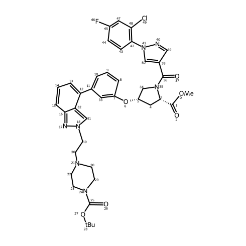 COC(=O)[C@@H]1C[C@H](Oc2cccc(-c3cccc4nn(CCN5CCN(C(=O)OC(C)(C)C)CC5)cc34)c2)CN1C(=O)c1cnn(-c2ccc(F)cc2Cl)c1